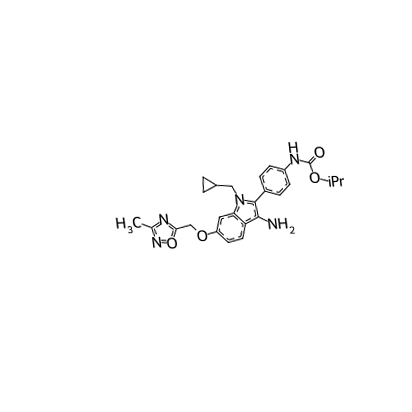 Cc1noc(COc2ccc3c(N)c(-c4ccc(NC(=O)OC(C)C)cc4)n(CC4CC4)c3c2)n1